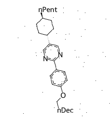 CCCCCCCCCCCOc1ccc(-c2ncc([C@H]3CC[C@H](CCCCC)CC3)cn2)cc1